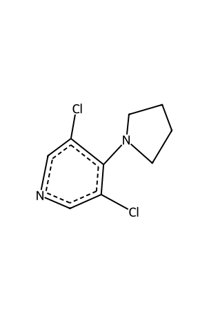 Clc1cncc(Cl)c1N1CCCC1